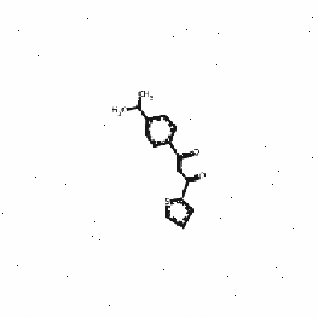 CC(C)c1ccc(C(=O)CC(=O)c2cccs2)cc1